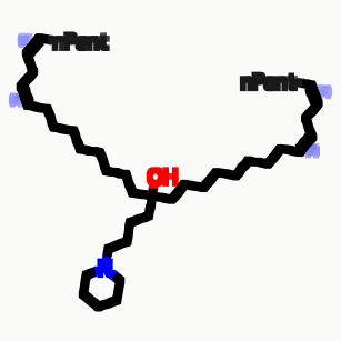 CCCCC/C=C\C/C=C\CCCCCCCCC(O)(CCCCCCCC/C=C\C/C=C\CCCCC)CCCCN1CCCCC1